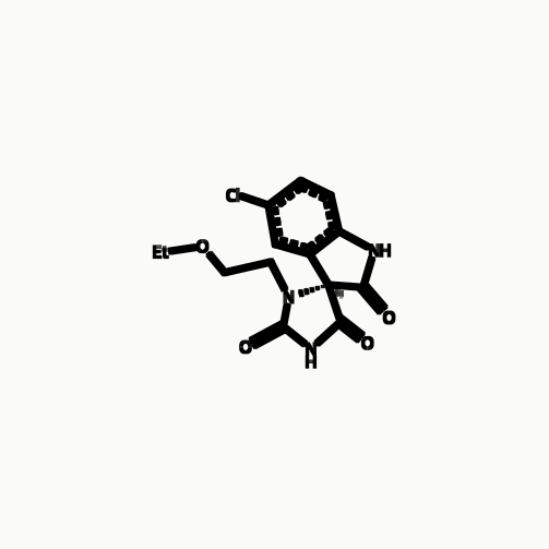 CCOCCN1C(=O)NC(=O)[C@@]12C(=O)Nc1ccc(Cl)cc12